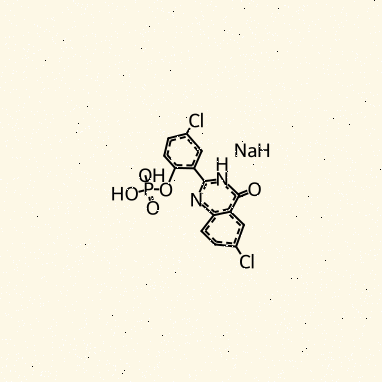 O=c1[nH]c(-c2cc(Cl)ccc2OP(=O)(O)O)nc2ccc(Cl)cc12.[NaH]